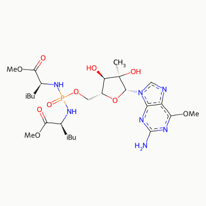 CCC(C)[C@H](NP(=O)(N[C@H](C(=O)OC)C(C)CC)OC[C@H]1O[C@@H](n2cnc3c(OC)nc(N)nc32)[C@](C)(O)[C@@H]1O)C(=O)OC